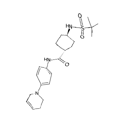 CC(C)(C)S(=O)(=O)N[C@H]1CC[C@H](C(=O)Nc2ccc(N3CC=CCC3)cc2)CC1